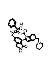 CN(Cc1cc2c(c(-c3cc4cc(CN5CCCCC5)ccc4n3C(=O)OC(C)(C)C)c1)C(=O)NC2)CC(O)c1ccccc1